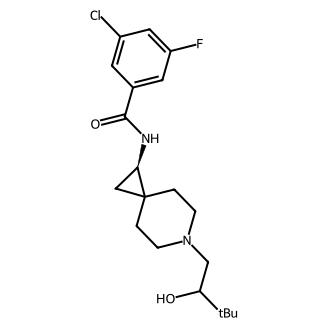 CC(C)(C)C(O)CN1CCC2(CC1)C[C@H]2NC(=O)c1cc(F)cc(Cl)c1